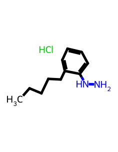 CCCCCc1ccccc1NN.Cl